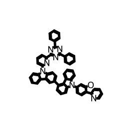 c1ccc(-c2nc(-c3ccccc3)nc(-c3cccc(-n4c5ccccc5c5cc(-c6cccc7c6c6ccccc6n7-c6ccc7c(c6)oc6cccnc67)ccc54)n3)n2)cc1